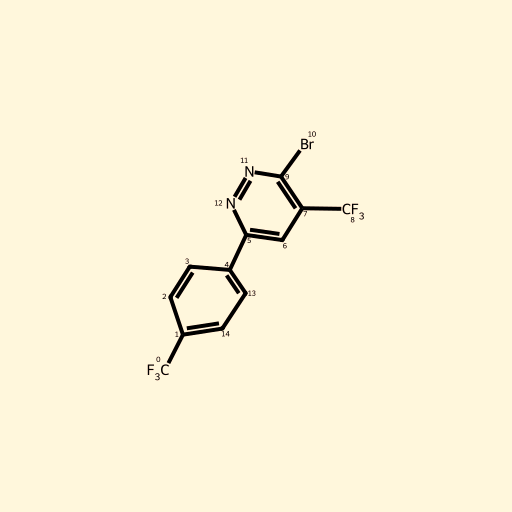 FC(F)(F)c1ccc(-c2cc(C(F)(F)F)c(Br)nn2)cc1